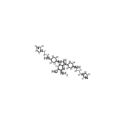 CC1N(C)C=CN1CCCNc1ccc(Nc2cc(O)c(N)nc2Nc2ccc(NCCCn3ccnc3)cc2)cc1